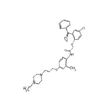 Cc1cc(OCCCN2CCN(C)CC2)ccc1NC(=O)COc1ccc(Cl)cc1C(=O)c1ccccc1